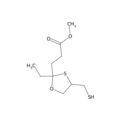 CCC1(CCC(=O)OC)OCC(CS)S1